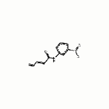 C=CC=CC(=O)Nc1cccc([N+](=O)[O-])c1